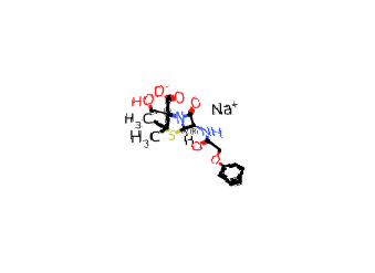 CC1(C)S[C@@H]2[C@H](NC(=O)COc3ccccc3)C(=O)N2[C@@]1(CO)C(=O)[O-].[Na+]